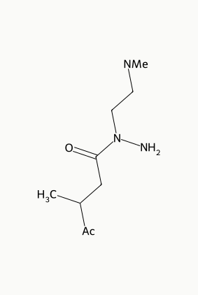 CNCCN(N)C(=O)CC(C)C(C)=O